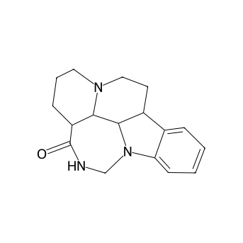 O=C1NCN2c3ccccc3C3CCN4CCCC1C4C32